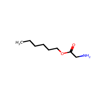 CCCCCCOC(=O)CN